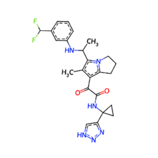 Cc1c(C(=O)C(=O)NC2(c3c[nH]nn3)CC2)c2n(c1C(C)Nc1cccc(C(F)F)c1)CCC2